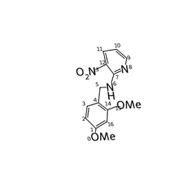 COc1ccc(CNc2ncccc2[N+](=O)[O-])c(OC)c1